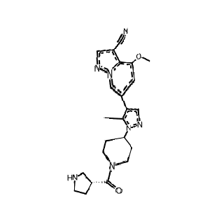 COc1cc(-c2cnn(C3CCN(C(=O)[C@@H]4CCNC4)CC3)c2C)cn2ncc(C#N)c12